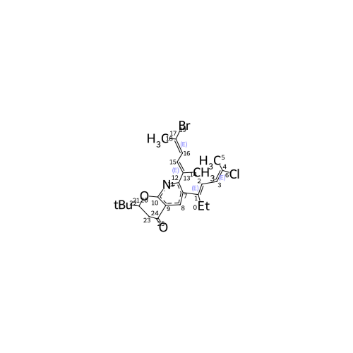 CC/C(=C\C=C(/C)Cl)c1cc2c(nc1/C(C)=C/C=C(\C)Br)OC(C(C)(C)C)CC2=O